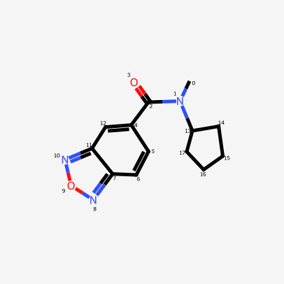 CN(C(=O)c1ccc2nonc2c1)C1CCCC1